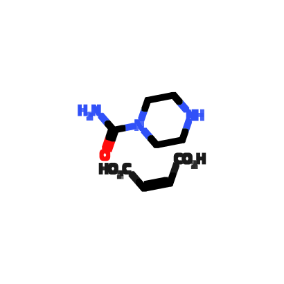 NC(=O)N1CCNCC1.O=C(O)/C=C\C(=O)O